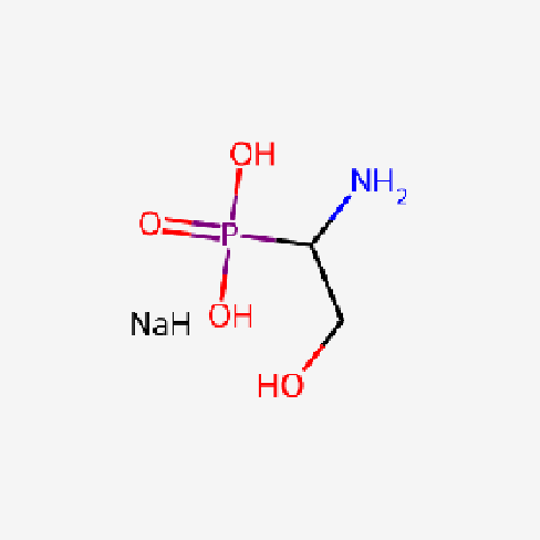 NC(CO)P(=O)(O)O.[NaH]